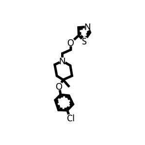 CC1(Oc2ccc(Cl)cc2)CCN(CCOc2cncs2)CC1